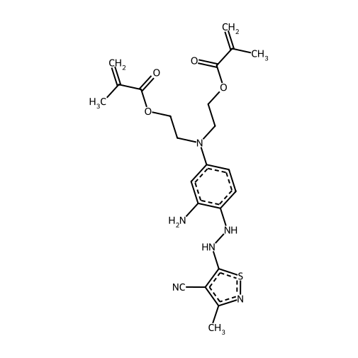 C=C(C)C(=O)OCCN(CCOC(=O)C(=C)C)c1ccc(NNc2snc(C)c2C#N)c(N)c1